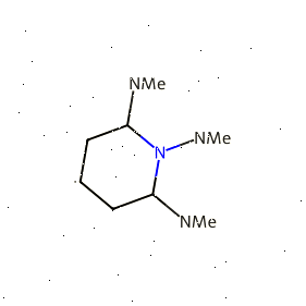 CNC1C[CH]CC(NC)N1NC